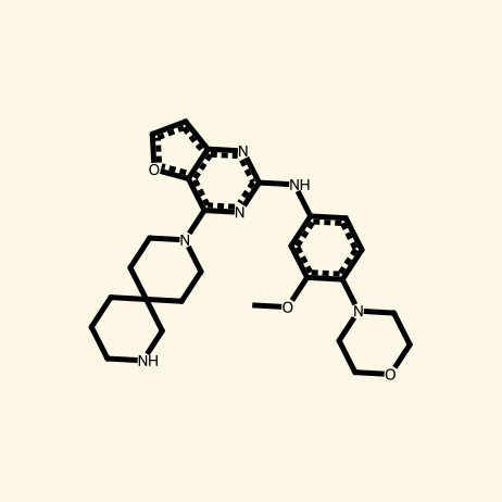 COc1cc(Nc2nc(N3CCC4(CCCNC4)CC3)c3occc3n2)ccc1N1CCOCC1